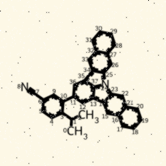 CC(C)c1ccc(C#N)cc1-c1cc2c3cc4ccccc4cc3n3c4cc5ccccc5cc4c(c1)c23